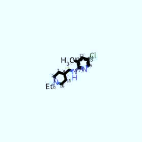 CCN1CCC(CNc2ncc(Cl)cc2C)CC1